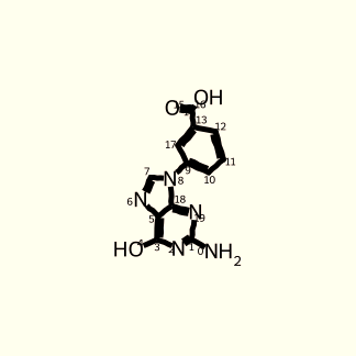 Nc1nc(O)c2ncn(-c3cccc(C(=O)O)c3)c2n1